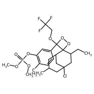 CCC1CC2(Cl)CC(C)CC(C2)C12OOC2(OCC(F)(F)F)c1ccc(C)c(OP(=O)(OC)OC)c1